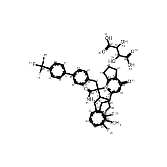 CCN1CCC(C(Cc2ccc(-c3ccc(C(F)(F)F)cc3)cc2)(C(N)=O)n2c(CCc3cccc(F)c3F)cc(=O)c3c2CCC3)CC1.O=C(O)C(O)C(O)C(=O)O